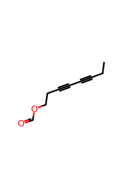 CCC#CC#CCCOC=O